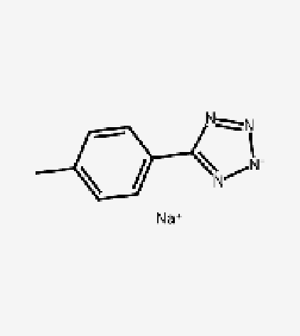 Cc1ccc(-c2nn[n-]n2)cc1.[Na+]